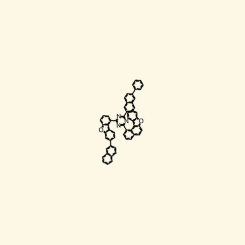 c1ccc(-c2ccc3cc(-c4nc(-c5cccc6oc7cc(-c8ccc9ccccc9c8)ccc7c56)nc(-c5cccc6ccc7oc8ccccc8c7c56)n4)ccc3c2)cc1